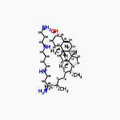 CC(C)CCC[C@@H](C)[C@H]1CC[C@H]2[C@@H]3CC=C4C[C@@H](O)CC[C@]4(C)[C@H]3CC[C@]12C.NCCCNCCCCNCCCN